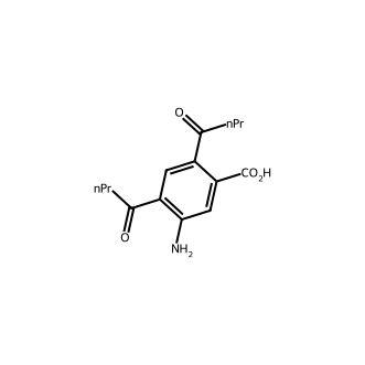 CCCC(=O)c1cc(C(=O)CCC)c(C(=O)O)cc1N